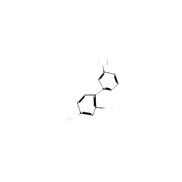 Oc1cccc(-c2ccc(O)cc2O)c1